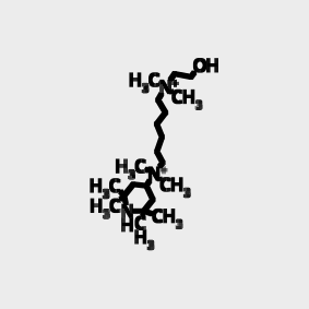 CC1(C)CC([N+](C)(C)CCCCCC[N+](C)(C)CCO)CC(C)(C)N1